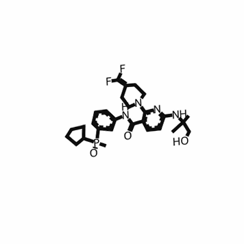 CC(C)(CO)Nc1ccc(C(=O)Nc2cccc(P(C)(=O)C3CCCC3)c2)c(N2CCC(=C(F)F)CC2)n1